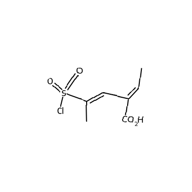 C/C=C(\C=C(/C)S(=O)(=O)Cl)C(=O)O